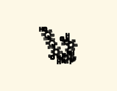 COc1cc(N2CCC(N3CCC(O)CC3)CC2)ccc1Nc1ncc(C(F)(F)F)c(NCc2cccc3c2CC(=O)N3)n1